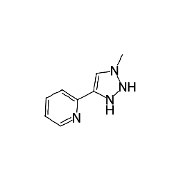 CN1C=C(c2ccccn2)NN1